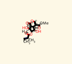 C/C=C(\C)C(=O)O[C@H]1[C@@H](O)[C@@H]2C(C(=O)OC)=COC(=O)[C@@H]2[C@@]1(C)O